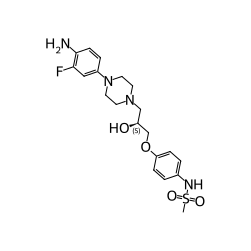 CS(=O)(=O)Nc1ccc(OC[C@@H](O)CN2CCN(c3ccc(N)c(F)c3)CC2)cc1